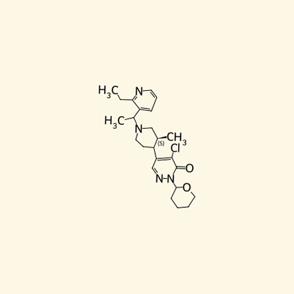 CCc1ncccc1C(C)N1CCC(c2cnn(C3CCCCO3)c(=O)c2Cl)[C@H](C)C1